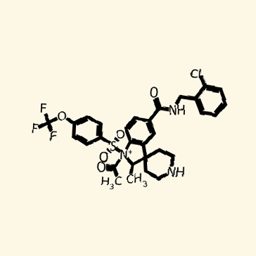 CC(=O)[N+]1(S(=O)(=O)c2ccc(OC(F)(F)F)cc2)c2ccc(C(=O)NCc3ccccc3Cl)cc2C2(CCNCC2)C1C